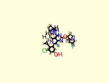 Cc1nc(-c2cc(O)cc(Cl)c2C2CC2)c(F)c2nc(OC[C@@]34CCCN3C[C@H](F)C4)nc(N3C[C@H]4CC[C@@H](C3)N4)c12